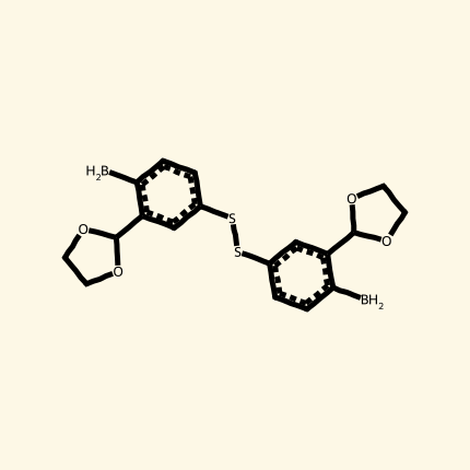 Bc1ccc(SSc2ccc(B)c(C3OCCO3)c2)cc1C1OCCO1